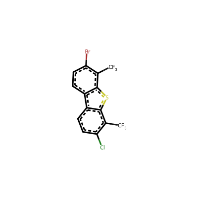 FC(F)(F)c1c(Cl)ccc2c1sc1c(C(F)(F)F)c(Br)ccc12